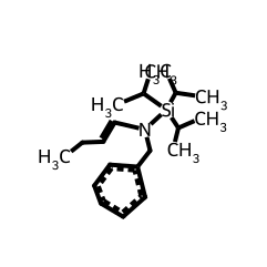 CCC=CN(Cc1ccccc1)[Si](C(C)C)(C(C)C)C(C)C